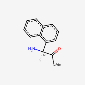 CNC(=O)[C@@](C)(N)c1cccc2ccccc12